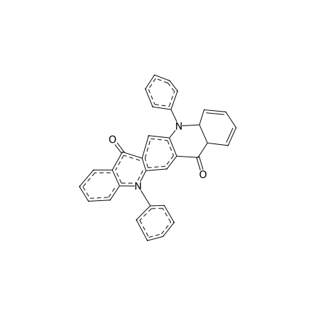 O=C1c2cc3c(cc2N(c2ccccc2)C2C=CC=CC12)c(=O)c1ccccc1n3-c1ccccc1